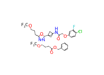 O=C(CCCOC(F)(F)F)OCc1ccccc1.O=C(COc1ccc(Cl)c(F)c1)NC12CC(c3nnc(CCCOC(F)(F)F)o3)(C1)C2